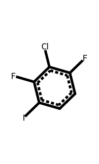 Fc1ccc(I)c(F)c1Cl